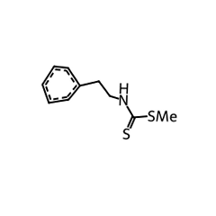 CSC(=S)NCCc1ccccc1